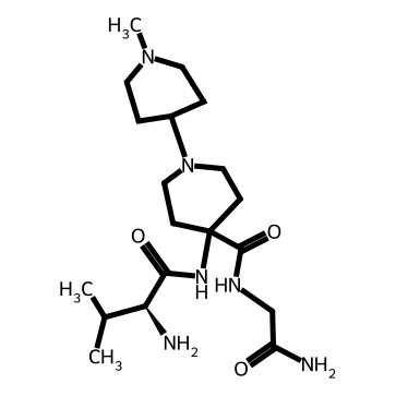 CC(C)[C@H](N)C(=O)NC1(C(=O)NCC(N)=O)CCN(C2CCN(C)CC2)CC1